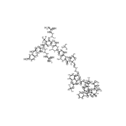 CCCN(CC(=O)N[C@@H](CCCNC(=N)N)C(=O)N[C@H](C(=O)N[C@@H](CCCNC(=N)N)C(=O)N[C@@H](Cc1ccc(O)cc1)C(=O)O)C(C)(C)C)C(=O)[C@H](CC(C)C)NC(=O)CN(CCC)C(=O)[C@@H](NC(C)=O)C(C)(C)SSCCOC(=O)O[C@@H](C(=O)O[C@H]1C[C@@]2(O)[C@@H](OC(=O)c3ccccc3)[C@@H]3[C@]4(OC(C)=O)CO[C@@H]4C[C@H](OC)[C@@]3(C)C(=O)[C@H](OC)C(=C1C)C2(C)C)C(NC(=O)OC(C)(C)C)c1ccccc1